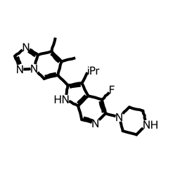 Cc1c(-c2[nH]c3cnc(N4CCNCC4)c(F)c3c2C(C)C)cn2ncnc2c1C